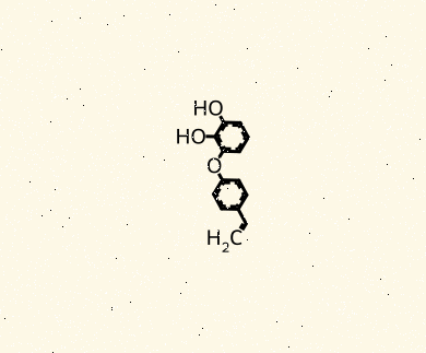 C=Cc1ccc(Oc2cccc(O)c2O)cc1